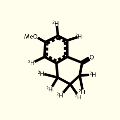 [2H]c1c([2H])c2c(c([2H])c1OC)C([2H])([2H])C([2H])([2H])C([2H])([2H])C2=O